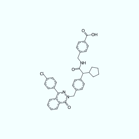 O=C(O)c1ccc(CNC(=O)C(c2ccc(Cn3nc(-c4ccc(Cl)cc4)c4ccccc4c3=O)cc2)C2CCCC2)cc1